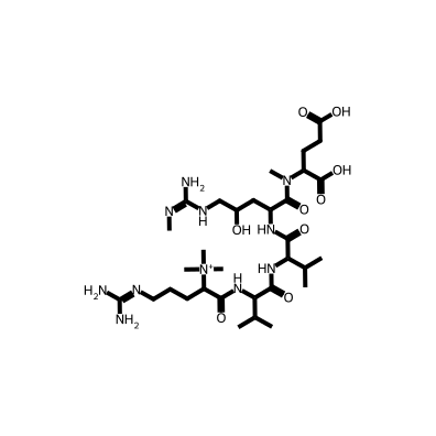 CN=C(N)NCC(O)CC(NC(=O)C(NC(=O)C(NC(=O)C(CCCN=C(N)N)[N+](C)(C)C)C(C)C)C(C)C)C(=O)N(C)C(CCC(=O)O)C(=O)O